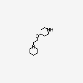 C1CCN(CCOC2CCNCC2)CC1